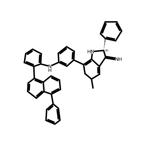 CC1C=C2C(=N)[C@@H](c3ccccc3)NC2=C(c2cccc(Nc3ccccc3-c3cccc4c(-c5ccccc5)cccc34)c2)C1